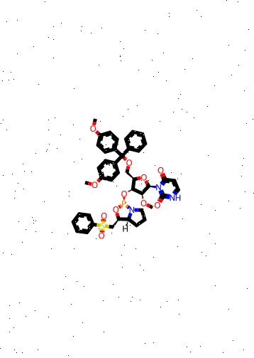 COc1ccc(C(OC[C@H]2O[C@@H](n3c(=O)cc[nH]c3=O)[C@H](OC)[C@@H]2O[P@]2O[C@H](CS(=O)(=O)c3ccccc3)[C@@H]3CCCN32)(c2ccccc2)c2ccc(OC)cc2)cc1